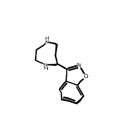 c1ccc2c(C3CNCCN3)noc2c1